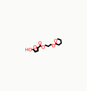 O=C(OCCCOC1CCCCO1)c1ccc(O)o1